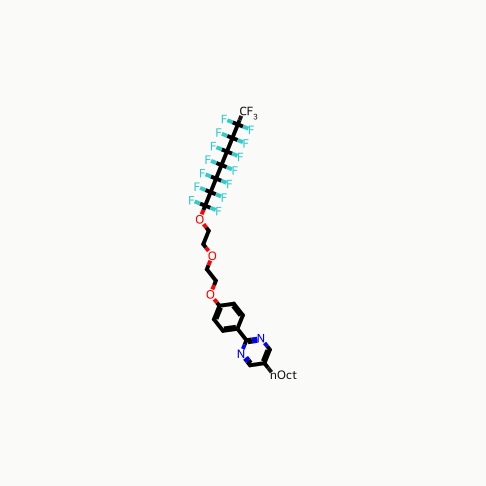 CCCCCCCCc1cnc(-c2ccc(OCCOCCOC(F)(F)C(F)(F)C(F)(F)C(F)(F)C(F)(F)C(F)(F)C(F)(F)C(F)(F)F)cc2)nc1